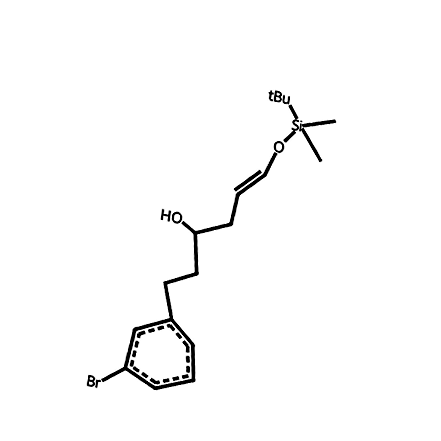 CC(C)(C)[Si](C)(C)OC=CCC(O)CCc1cccc(Br)c1